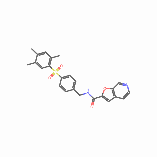 Cc1cc(C)c(S(=O)(=O)c2ccc(CNC(=O)c3cc4ccncc4o3)cc2)cc1C